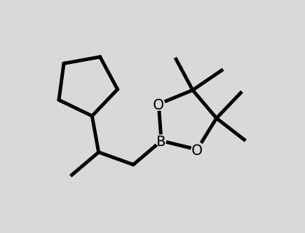 CC(CB1OC(C)(C)C(C)(C)O1)C1CCCC1